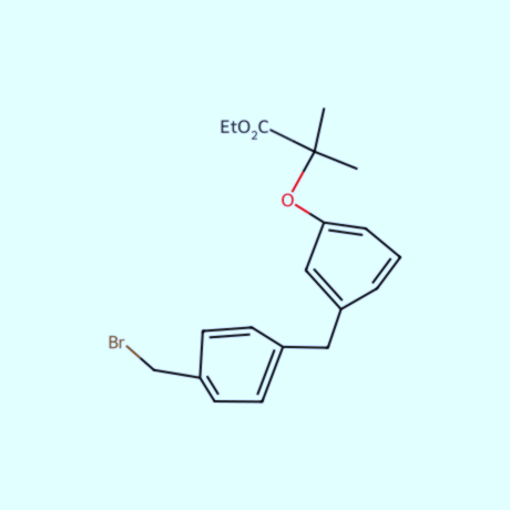 CCOC(=O)C(C)(C)Oc1cccc(Cc2ccc(CBr)cc2)c1